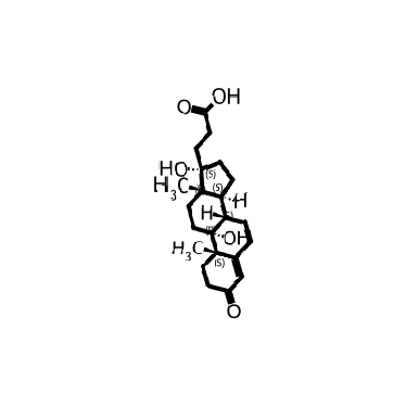 C[C@]12CCC(=O)C=C1CC[C@H]1[C@@H]3CC[C@](O)(CCC(=O)O)[C@@]3(C)CC[C@@]12O